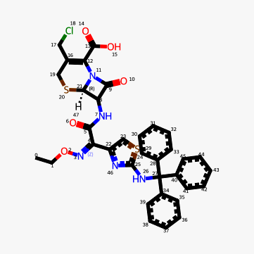 CCO/N=C(\C(=O)NC1C(=O)N2C(C(=O)O)=C(CCl)CS[C@H]12)c1csc(NC(c2ccccc2)(c2ccccc2)c2ccccc2)n1